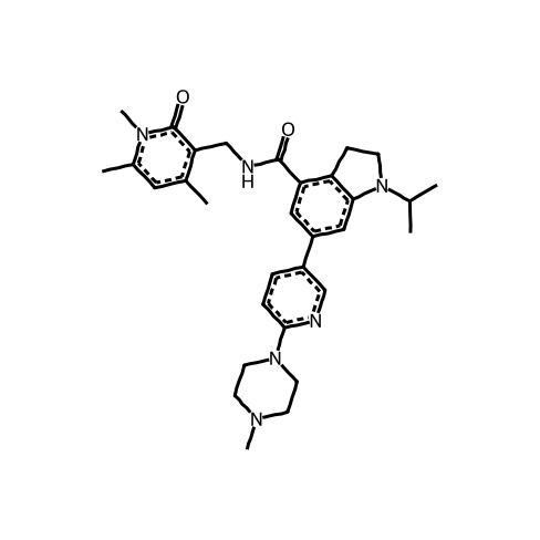 Cc1cc(C)n(C)c(=O)c1CNC(=O)c1cc(-c2ccc(N3CCN(C)CC3)nc2)cc2c1CCN2C(C)C